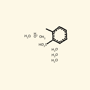 Cc1ccccc1S(=O)(=O)O.O.O.O.O.O.O